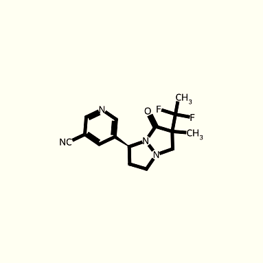 CC(F)(F)C1(C)CN2CC[C@@H](c3cncc(C#N)c3)N2C1=O